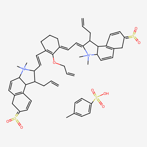 C=CCOC1=C(C=CC2C(CC=C)C3C4=C(C=CC3[N+]2(C)C)CC(=S(=O)=O)C=C4)CCCC1=CC=C1C(CC=C)C2C3=C(C=CC2[N+]1(C)C)CC(=S(=O)=O)C=C3.Cc1ccc(S(=O)(=O)O)cc1